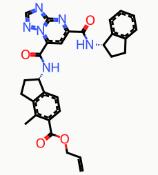 C=CCOC(=O)c1ccc2c(c1C)CC[C@@H]2NC(=O)c1cc(C(=O)N[C@H]2CCc3ccccc32)nc2ncnn12